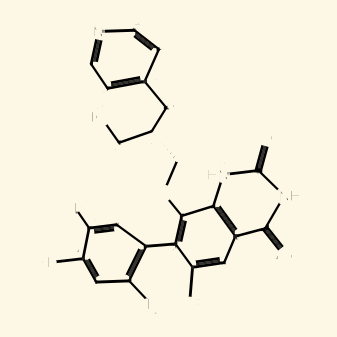 O=c1[nH]c(=O)c2cc(C(F)(F)F)c(-c3cc(Cl)c(F)cc3F)c(SC[C@H](CO)Cc3ccncc3)c2[nH]1